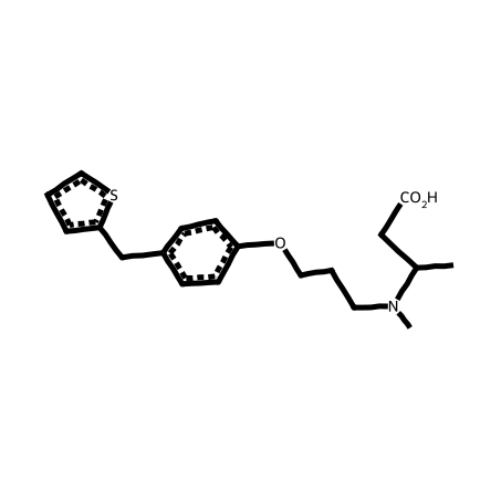 CC(CC(=O)O)N(C)CCCOc1ccc(Cc2cccs2)cc1